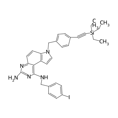 CC[Si](C#Cc1ccc(Cn2ccc3c4c(NCc5ccc(I)cc5)nc(N)nc4ccc32)cc1)(CC)CC